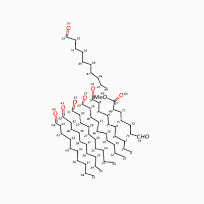 CCCCCCCCCC=O.CCCCCCCCCC=O.CCCCCCCCCC=O.CCCCCCCCCC=O.CCCCCCCCCC=O.CCCCCCCCCC=O.COC(=O)CCCCCC=O